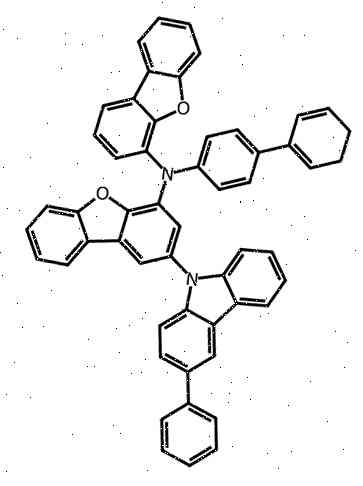 C1=CC(c2ccc(N(c3cccc4c3oc3ccccc34)c3cc(-n4c5ccccc5c5cc(-c6ccccc6)ccc54)cc4c3oc3ccccc34)cc2)=CCC1